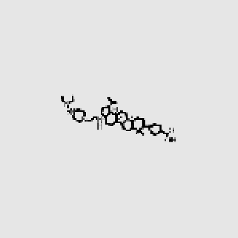 C=C(C)[C@@H]1CC[C@]2(NCCN3CCN(SN(CC)CC)CC3)CC[C@]3(C)[C@H](CCC4[C@@]5(C)CC=C(c6ccc(C(=O)O)cc6)C(C)(C)C5CC[C@]43C)C12